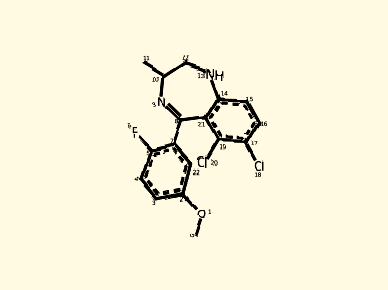 COc1ccc(F)c(C2=NC(C)CNc3ccc(Cl)c(Cl)c32)c1